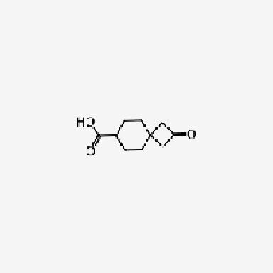 O=C1CC2(CCC(C(=O)O)CC2)C1